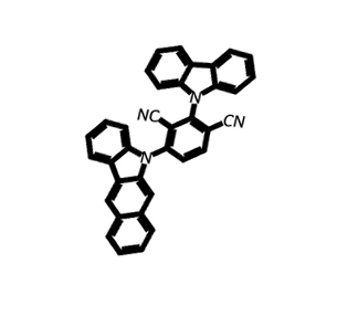 N#Cc1ccc(-n2c3ccccc3c3cc4ccccc4cc32)c(C#N)c1-n1c2ccccc2c2ccccc21